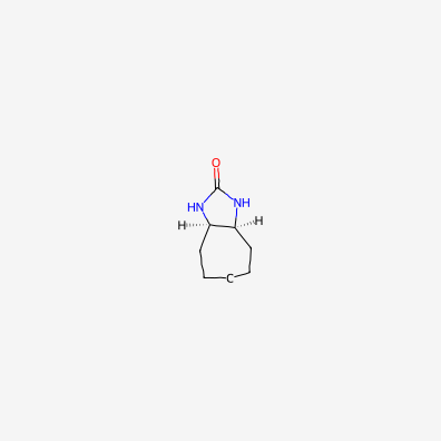 O=C1N[C@H]2CCCCC[C@H]2N1